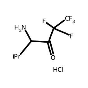 CC(C)C(N)C(=O)C(F)(F)C(F)(F)F.Cl